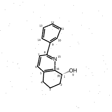 O[C@@H]1CCCc2ccc(-c3ccccc3)nc21